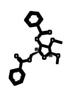 COC1C(OC(=O)c2ccccc2)[C@@H](COC(=O)c2ccccc2)O[C@@H]1OC